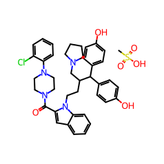 CS(=O)(=O)O.O=C(c1cc2ccccc2n1CCC(CN1CCCC1)C(c1ccc(O)cc1)c1ccc(O)cc1)N1CCN(c2ccccc2Cl)CC1